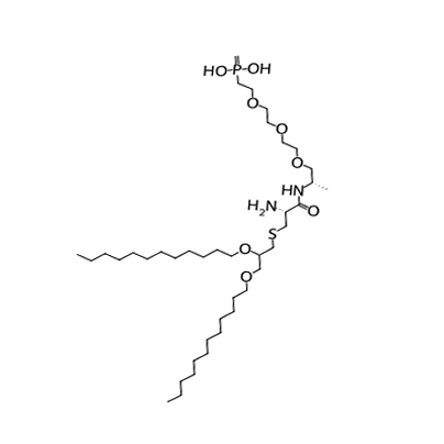 C=P(O)(O)CCOCCOCCOC[C@H](C)NC(=O)[C@@H](N)CSCC(COCCCCCCCCCCCC)OCCCCCCCCCCCC